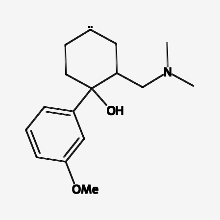 COc1cccc(C2(O)CC[C]CC2CN(C)C)c1